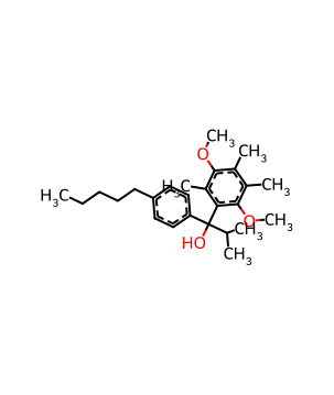 CCCCCc1ccc(C(O)(c2c(C)c(OC)c(C)c(C)c2OC)C(C)C)cc1